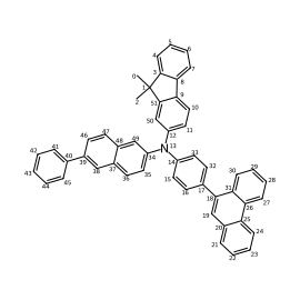 CC1(C)c2ccccc2-c2ccc(N(c3ccc(-c4cc5ccccc5c5ccccc45)cc3)c3ccc4cc(-c5ccccc5)ccc4c3)cc21